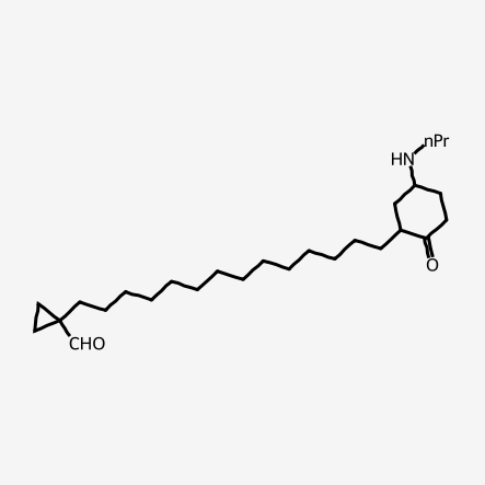 CCCNC1CCC(=O)C(CCCCCCCCCCCCCCC2(C=O)CC2)C1